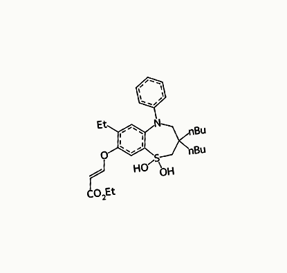 CCCCC1(CCCC)CN(c2ccccc2)c2cc(CC)c(O/C=C/C(=O)OCC)cc2S(O)(O)C1